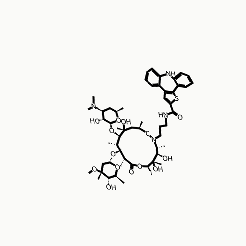 CO[C@]1(C)C[C@H](O[C@H]2[C@H](C)[C@@H](O[C@@H]3O[C@H](C)C[C@H](N(C)C)[C@H]3O)[C@](C)(O)C[C@@H](C)CN(CCCNC(=O)c3cc4c(s3)-c3ccccc3Nc3ccccc3-4)[C@H](C)[C@@H](O)[C@](C)(O)[C@@H](I)OC(=O)[C@@H]2C)O[C@@H](C)[C@@H]1O